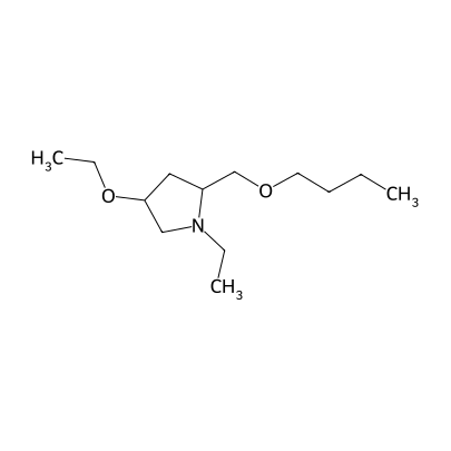 CCCCOCC1CC(OCC)CN1CC